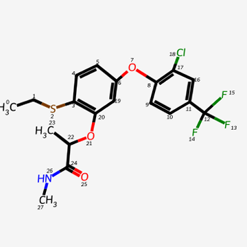 CCSc1ccc(Oc2ccc(C(F)(F)F)cc2Cl)cc1OC(C)C(=O)NC